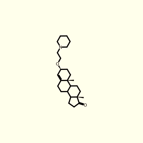 C[C@]12CC[C@H](OCCN3CCCCC3)C=C1CCC1C2CC[C@]2(C)C(=O)CCC12